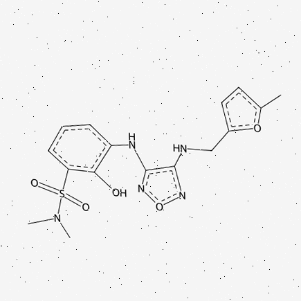 Cc1ccc(CNc2nonc2Nc2cccc(S(=O)(=O)N(C)C)c2O)o1